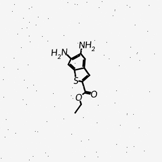 CCOC(=O)c1cc2cc(N)c(N)cc2s1